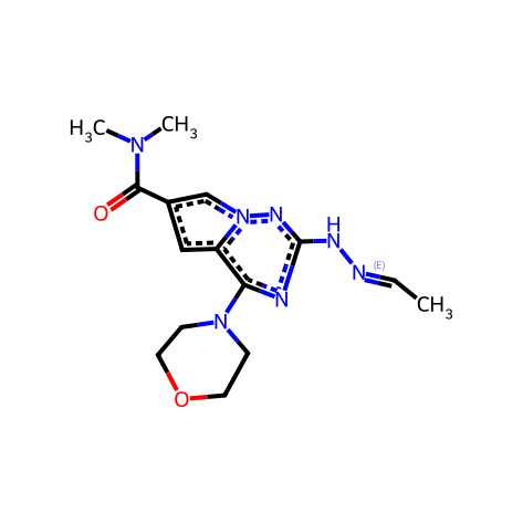 C/C=N/Nc1nc(N2CCOCC2)c2cc(C(=O)N(C)C)cn2n1